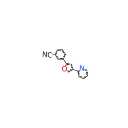 N#Cc1cccc(-c2cc(-c3ccccn3)co2)c1